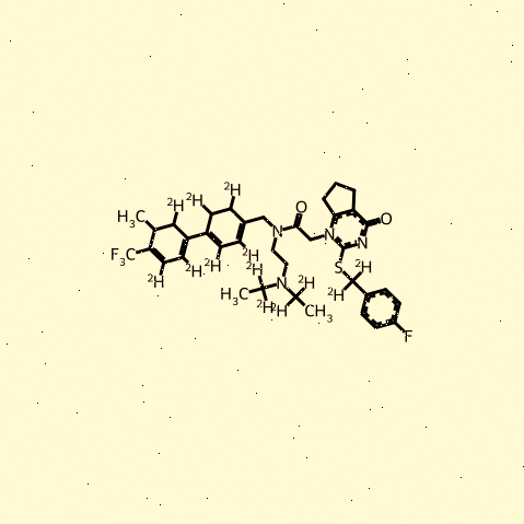 [2H]C1=C(CN(CCN(C([2H])([2H])C)C([2H])([2H])C)C(=O)Cn2c(SC([2H])([2H])c3ccc(F)cc3)nc(=O)c3c2CCC3)C([2H])C([2H])C(C2=C([2H])C([2H])=C(C(F)(F)F)C(C)C2[2H])=C1[2H]